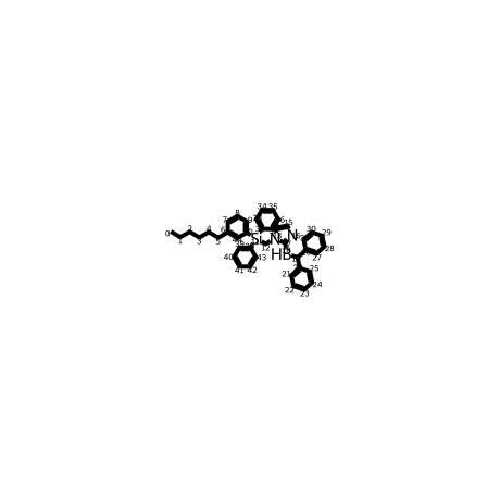 CCCCCCc1cccc([Si](Cn2ccnc2BC(c2ccccc2)c2ccccc2)(c2ccccc2)c2ccccc2)c1